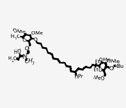 C=CC(O)N(C)COCC1OC(C)C(OC)C(OC)C1OCCCCCCCCCCCCCC(CCC)CCCCCC(CC)(CC)C1OC(COC)C(OCCCC)C(OC)C1OC